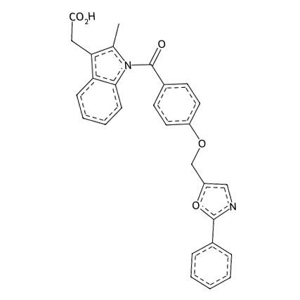 Cc1c(CC(=O)O)c2ccccc2n1C(=O)c1ccc(OCc2cnc(-c3ccccc3)o2)cc1